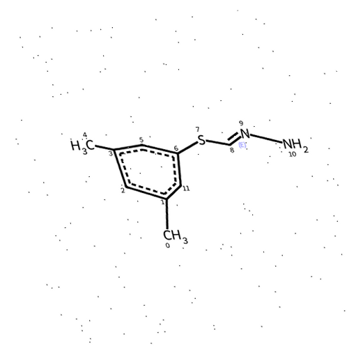 Cc1cc(C)cc(S/C=N/N)c1